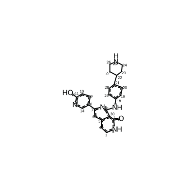 O=c1[nH]ccc2cc(-c3ccc(O)nc3)nc(Nc3ccc(C4CCNCC4)cc3)c12